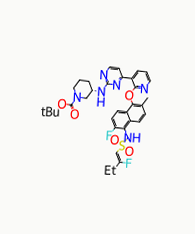 CC/C(F)=C/S(=O)(=O)Nc1c(F)ccc2c(Oc3ncccc3-c3ccnc(N[C@H]4CCCN(C(=O)OC(C)(C)C)C4)n3)c(C)ccc12